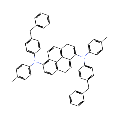 Cc1ccc(N(C2=CCc3ccc4c(N(c5ccc(C)cc5)c5ccc(Cc6ccccc6)cc5)ccc5c4c3C2=CC5)c2ccc(Cc3ccccc3)cc2)cc1